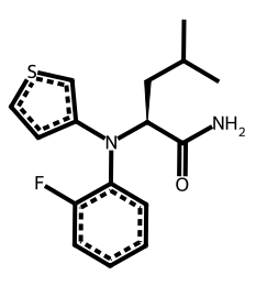 CC(C)C[C@@H](C(N)=O)N(c1ccsc1)c1ccccc1F